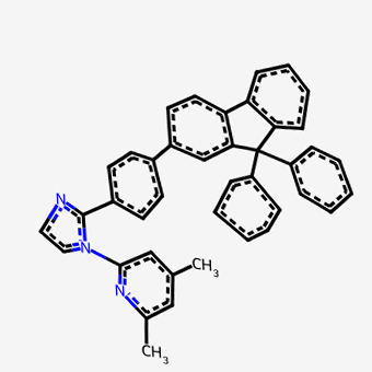 Cc1cc(C)nc(-n2ccnc2-c2ccc(-c3ccc4c(c3)C(c3ccccc3)(c3ccccc3)c3ccccc3-4)cc2)c1